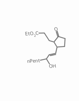 CCCCCC(O)C=CC1CCC(=O)C1CCC(=O)OCC